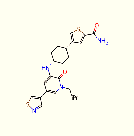 CC(C)Cn1cc(-c2cnsc2)cc(N[C@H]2CC[C@@H](c3csc(C(N)=O)c3)CC2)c1=O